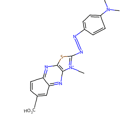 CN(C)c1ccc(/N=N/c2sc3nc4ccc(C(=O)O)cc4nc3[n+]2C)cc1